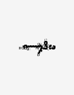 C=C(C=O)N1CCCC[C@H]1CCOC(CCC[C@@H](C(=O)C(C)CC(S)/C=C/C=C/C=C/CC[C@]1(CS)CC[C@@H](C)[C@@](C)(O)O1)C(O)/C(C)=C/CC=O)CCC1CCC(OC)CC1